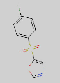 O=S(=O)(c1ccc(Cl)cc1)c1cn[c]o1